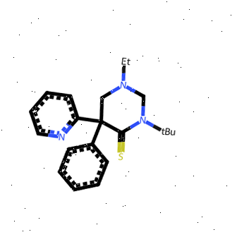 CCN1CN(C(C)(C)C)C(=S)C(c2ccccc2)(c2ccccn2)C1